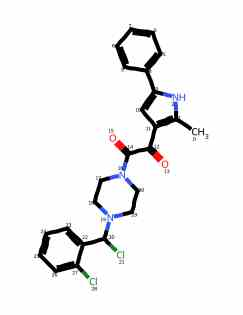 Cc1[nH]c(-c2ccccc2)cc1C(=O)C(=O)N1CCN(C(Cl)c2ccccc2Cl)CC1